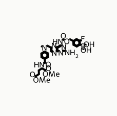 COC(=O)CCC(NC(=O)c1ccc(N(C)Cc2cnc3nc(N)nc(NC(=O)OCc4ccc(B(O)O)c(F)c4)c3n2)cc1)C(=O)OC